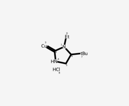 CCN1[C](=[Cu])NCC1C(C)(C)C.Cl